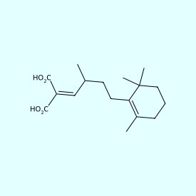 CC1=C(CCC(C)C=C(C(=O)O)C(=O)O)C(C)(C)CCC1